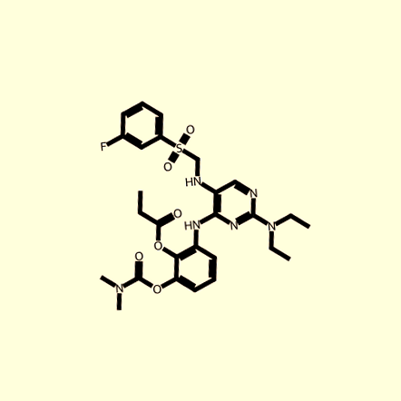 CCC(=O)Oc1c(Nc2nc(N(CC)CC)ncc2NCS(=O)(=O)c2cccc(F)c2)cccc1OC(=O)N(C)C